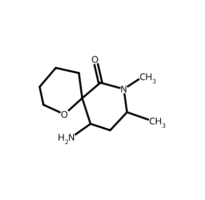 CC1CC(N)C2(CCCCO2)C(=O)N1C